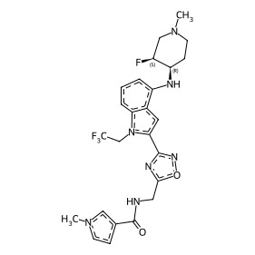 CN1CC[C@@H](Nc2cccc3c2cc(-c2noc(CNC(=O)c4ccn(C)c4)n2)n3CC(F)(F)F)[C@@H](F)C1